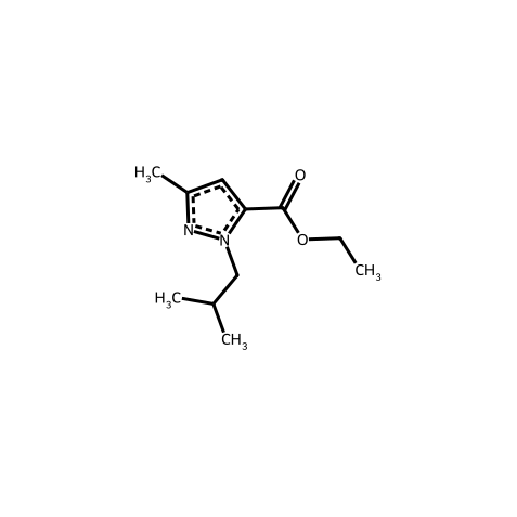 CCOC(=O)c1cc(C)nn1CC(C)C